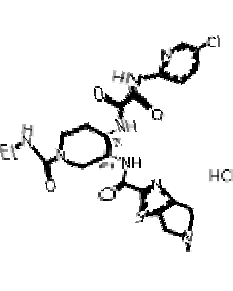 CCNC(=O)N1CC[C@H](NC(=O)C(=O)Nc2ccc(Cl)cn2)[C@H](NC(=O)c2nc3c(s2)CN(C)CC3)C1.Cl